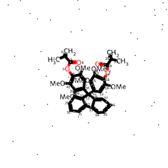 C=C(C)C(=O)Oc1c(OC)cc(C2(c3cc(OC)c(OC(=O)C(=C)C)c(OC)c3OC)c3ccccc3-c3ccccc32)c(OC)c1OC